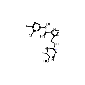 CC(CO)N/C(=N\C#N)NCc1nonc1C(=N)N(O)c1ccc(F)c(Cl)c1